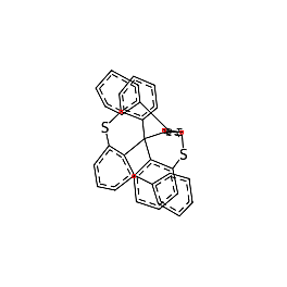 c1ccc(-c2cccc3c2C2(c4ccccc4S3)c3ccccc3Sc3cccc(-c4ccccc4)c32)cc1